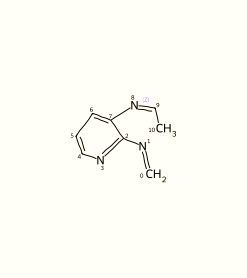 C=Nc1ncccc1/N=C\C